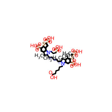 C=C(Sc1c(S(=O)(=O)O)cc2c(c1C)C(C)(C)\C(=C/C=C/C=C/C1=[N+](CCCS(=O)(=O)O)c3c(cc(S(=O)(=O)O)c4sc(S(=O)(=O)O)cc34)C1(C)C)N2CCCCCC(=O)O)S(=O)(=O)O